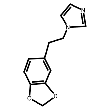 c1cn(CCc2ccc3c(c2)OCO3)cn1